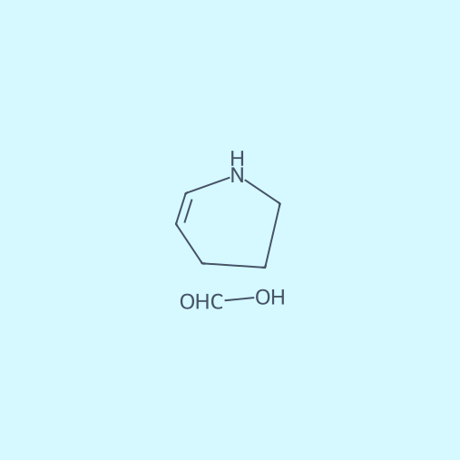 C1=CNCCC1.O=CO